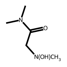 CN(O)CC(=O)N(C)C